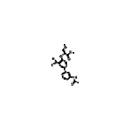 COC=C(Oc1ccc(-c2cccc(NC(C)=O)c2)cc1C(=O)O)C(=O)OC